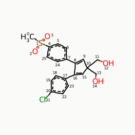 CS(=O)(=O)c1ccc(C2=CC(CO)(CO)C=C2c2ccc(Cl)cc2)cc1